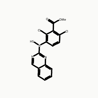 COC(=O)c1c(Cl)ccc(N(S)c2ncc3ccccc3n2)c1Cl